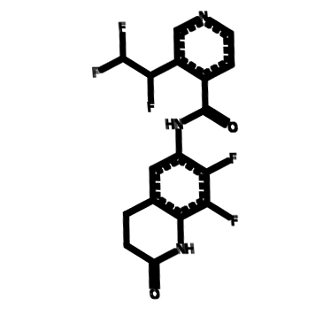 O=C1CCc2cc(NC(=O)c3ccncc3C(F)C(F)F)c(F)c(F)c2N1